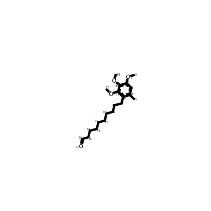 COc1cc(C)c(CCCCCCCCCC=O)c(OC)c1OC